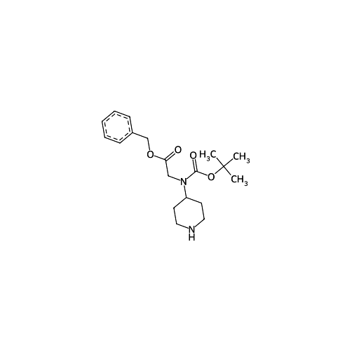 CC(C)(C)OC(=O)N(CC(=O)OCc1ccccc1)C1CCNCC1